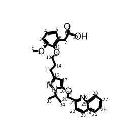 COc1cccc(CC(=O)O)c1OCCCc1cc(OCc2ccc3ccccc3n2)n(C(C)C)n1